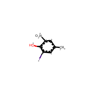 Cc1cc(I)c(O)c([N+](=O)[O-])c1